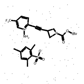 CC(C)(C)OC(=O)N1CC(C#Cc2ccc(C(F)(F)F)c[n+]2N)C1.Cc1cc(C)c(S(=O)(=O)[O-])c(C)c1